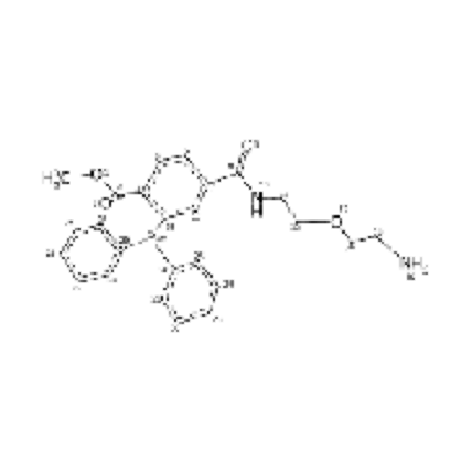 COC(=O)c1ccc(C(=O)NCCOCCN)cc1P(c1ccccc1)c1ccccc1